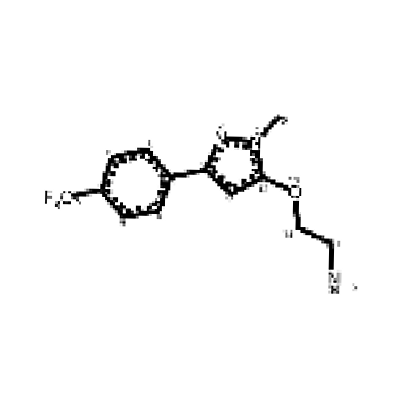 Cn1nc(-c2ccc(C(F)(F)F)cc2)cc1OCCN